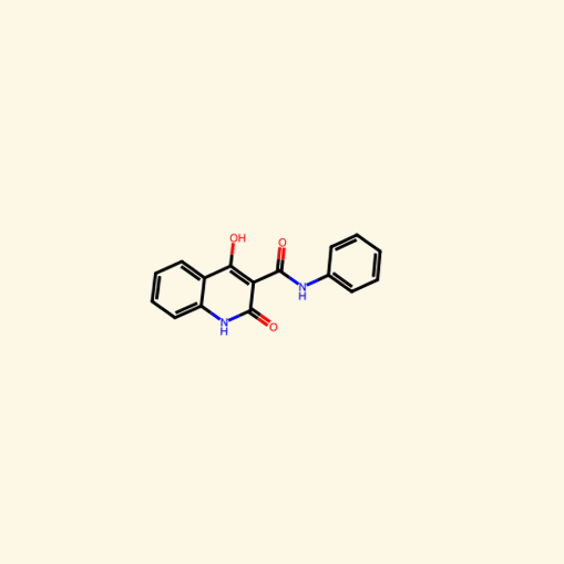 O=C(Nc1ccccc1)c1c(O)c2ccccc2[nH]c1=O